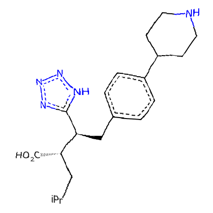 CC(C)C[C@H](C(=O)O)[C@H](Cc1ccc(C2CCNCC2)cc1)c1nnn[nH]1